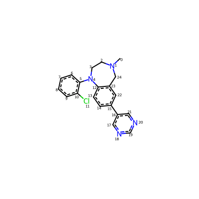 CN1CCN(c2ccccc2Cl)c2ccc(-c3cncnc3)cc2C1